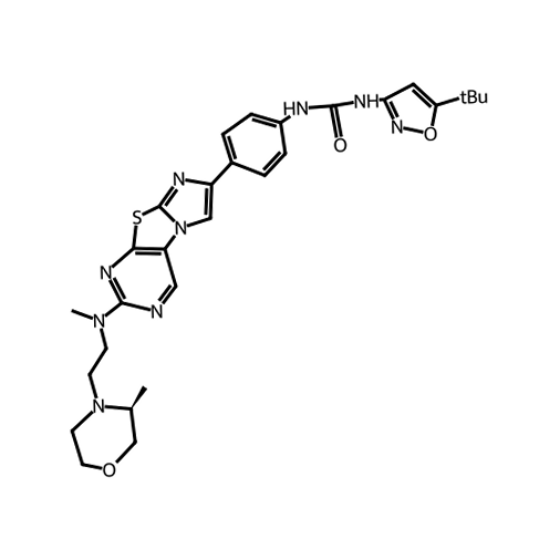 C[C@H]1COCCN1CCN(C)c1ncc2c(n1)sc1nc(-c3ccc(NC(=O)Nc4cc(C(C)(C)C)on4)cc3)cn12